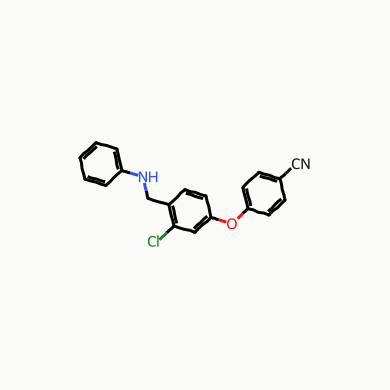 N#Cc1ccc(Oc2ccc(CNc3ccccc3)c(Cl)c2)cc1